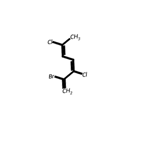 C=C(Br)/C(Cl)=C\C=C(/C)Cl